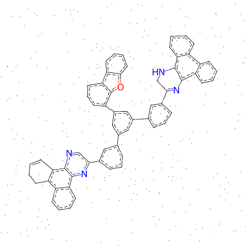 C1=Cc2c(c3ccccc3c3nc(-c4cccc(-c5cc(-c6cccc(C7=Nc8c(c9ccccc9c9ccccc89)NC7)c6)cc(-c6cccc7c6oc6ccccc67)c5)c4)cnc23)CC1